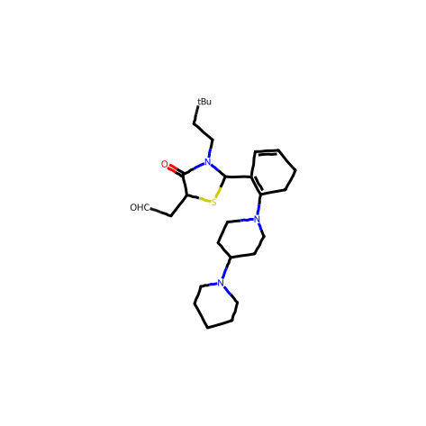 CC(C)(C)CCN1C(=O)C(CC=O)SC1C1=C(N2CCC(N3CCCCC3)CC2)CCC=C1